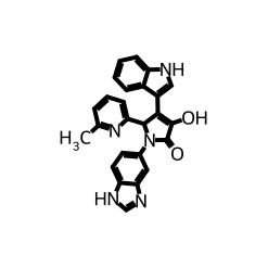 Cc1cccc(C2C(c3c[nH]c4ccccc34)=C(O)C(=O)N2c2ccc3[nH]cnc3c2)n1